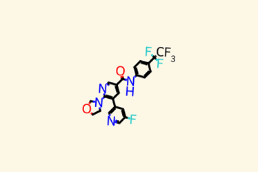 O=C(Nc1ccc(C(F)(F)C(F)(F)F)cc1)c1cnc(N2CCOC2)c(-c2cncc(F)c2)c1